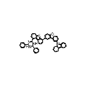 C1=Cc2c(c3ccccc3n2-c2ccc3oc4ccc(-c5cccc6c5sc5cccc(C7=NC(c8ccccc8)NC(c8ccccc8)N7)c56)cc4c3c2)CC1